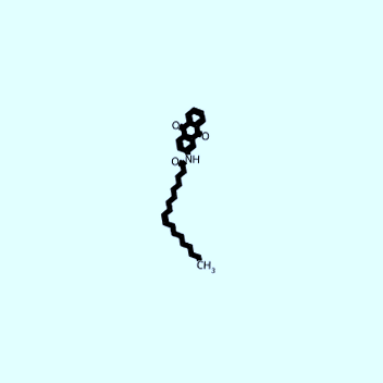 CCCCCCCC/C=C\CCCCCCCC(=O)Nc1ccc2c(c1)C(=O)c1ccccc1C2=O